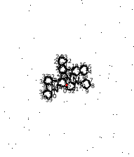 c1ccc(N(c2ccccc2)c2c3ccccc3cc3c4c5ccccc5cc5c6c7c8cccc9c%10ccccc%10n(c7ccc6n(c23)c54)c98)cc1